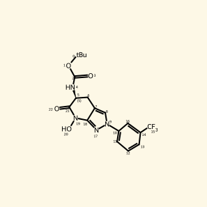 CC(C)(C)OC(=O)N[C@H]1Cc2cn(-c3cccc(C(F)(F)F)c3)nc2N(O)C1=O